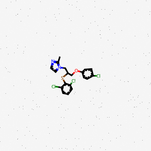 Cc1nccn1CC(COc1ccc(Cl)cc1)Sc1c(Cl)cccc1Cl